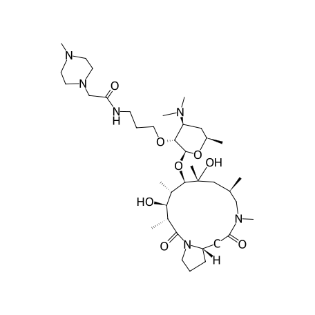 C[C@H]1CN(C)C(=O)C[C@@H]2CCCN2C(=O)[C@H](C)[C@@H](O)[C@H](C)[C@@H](O[C@@H]2O[C@H](C)C[C@H](N(C)C)[C@H]2OCCCNC(=O)CN2CCN(C)CC2)[C@](C)(O)C1